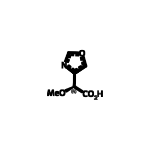 CO[C@H](C(=O)O)c1cocn1